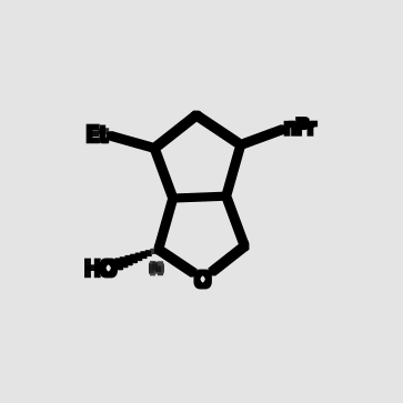 CCCC1CC(CC)C2C1CO[C@@H]2O